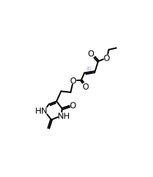 C=C1NC=C(CCOC(=O)/C=C/C(=O)OCC)C(=O)N1